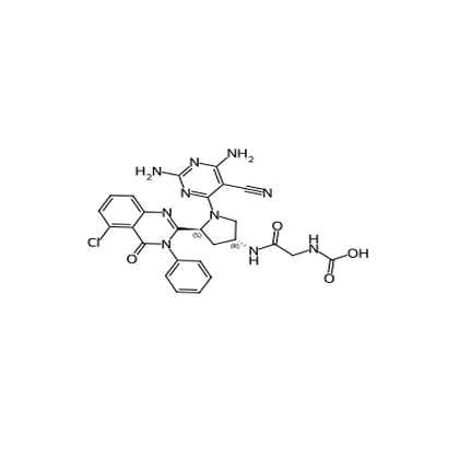 N#Cc1c(N)nc(N)nc1N1C[C@H](NC(=O)CNC(=O)O)C[C@H]1c1nc2cccc(Cl)c2c(=O)n1-c1ccccc1